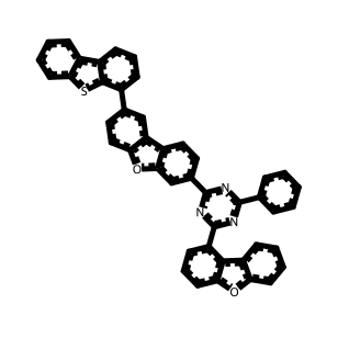 c1ccc(-c2nc(-c3ccc4c(c3)oc3ccc(-c5cccc6c5sc5ccccc56)cc34)nc(-c3cccc4oc5ccccc5c34)n2)cc1